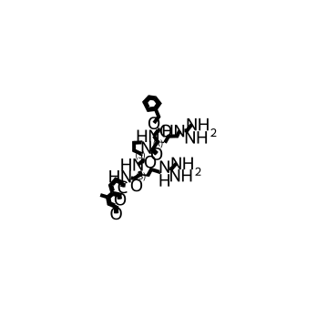 Cc1cc(=O)oc2cc(NC(=O)[C@H](CCCNC(=N)N)NC(=O)[C@@H]3CCCN3C(=O)[C@@H](CCCNC(=N)N)NC(=O)OCc3ccccc3)ccc12